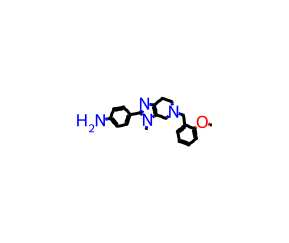 COc1ccccc1CN1CCc2nc(-c3ccc(N)cc3)n(C)c2C1